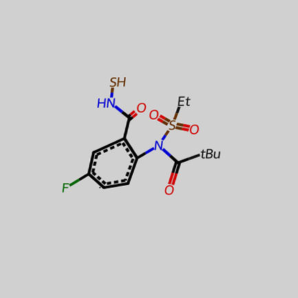 CCS(=O)(=O)N(C(=O)C(C)(C)C)c1c[c]c(F)cc1C(=O)NS